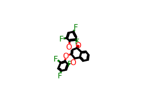 O=C1C(Oc2c(F)cc(F)cc2F)=C(Oc2c(F)cc(F)cc2F)C(=O)c2ccccc21